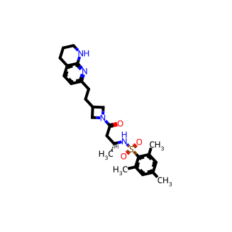 Cc1cc(C)c(S(=O)(=O)N[C@H](C)CC(=O)N2CC(CCc3ccc4c(n3)NCCC4)C2)c(C)c1